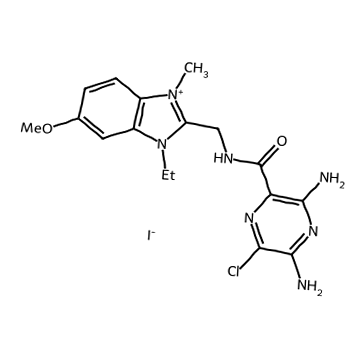 CCn1c(CNC(=O)c2nc(Cl)c(N)nc2N)[n+](C)c2ccc(OC)cc21.[I-]